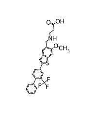 COc1cc2sc(-c3ccc(-c4ccccc4)c(C(F)(F)F)c3)cc2cc1CNCCC(=O)O